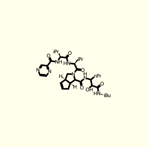 CCCC(NC(=O)C1[C@H]2CC=C[C@H]2CN1C(=O)[C@@H](NC(=O)[C@@H](NC(=O)c1cnccn1)C(C)C)C(C)C)C(O)C(=O)N[C@@H](C)CC